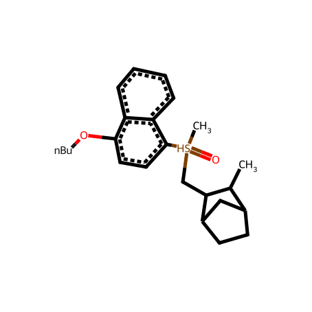 CCCCOc1ccc([SH](C)(=O)CC2C3CCC(C3)C2C)c2ccccc12